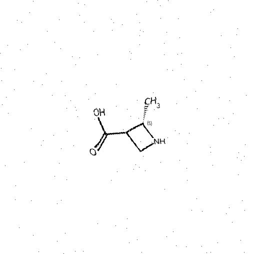 C[C@@H]1NCC1C(=O)O